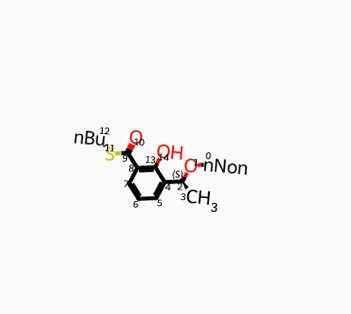 CCCCCCCCCO[C@@H](C)c1cccc(C(=O)SCCCC)c1O